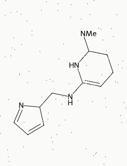 CNC1CCC=C(NCC2C=CC=N2)N1